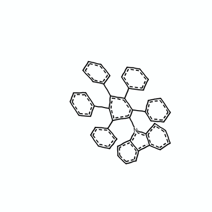 c1ccc(-c2c(-c3ccccc3)c(-c3ccccc3)c(-n3c4ccccc4c4ccccc43)c(-c3ccccc3)c2-c2ccccc2)cc1